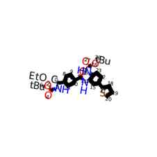 CCOC(=O)C(NC(=O)OC(C)(C)C)c1ccc(C(=O)Nc2cc(-c3cccs3)ccc2NC(=O)OC(C)(C)C)cc1